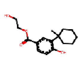 CC1(c2cc(C(=O)OCCO)ccc2O)CCCCC1